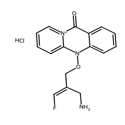 Cl.NC/C(=C\F)COn1c2ccccc2c(=O)[n+]2ccccc12